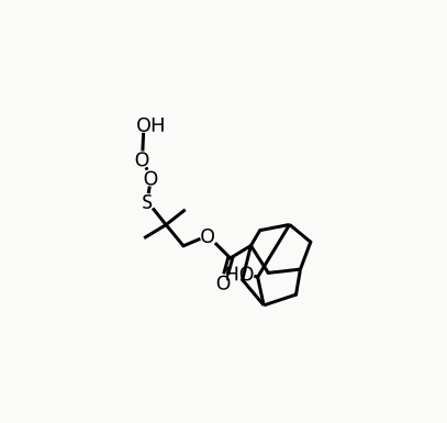 CC(C)(COC(=O)C12CC3CC(C1)C(O)C(C3)C2)SOOO